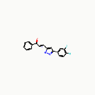 O=C(/C=C/c1cc(-c2ccc(F)c(F)c2)n[nH]1)c1ccccc1